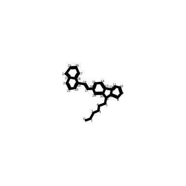 CCCCCCC1c2ccccc2-c2ccc(C=Cc3cccc4ccccc34)cc21